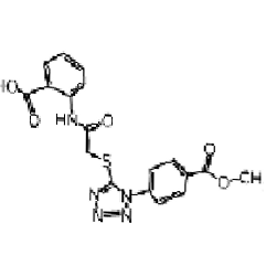 COC(=O)c1ccc(-n2nnnc2SCC(=O)Nc2ccccc2C(=O)O)cc1